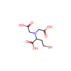 O=C(O)CN(CC(=O)O)C(CCS)C(=O)O